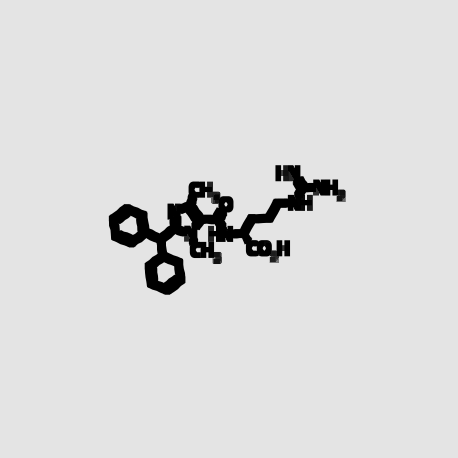 Cc1nc(C(c2ccccc2)C2C=CC=CC2)n(C)c1C(=O)N[C@@H](CCCNC(=N)N)C(=O)O